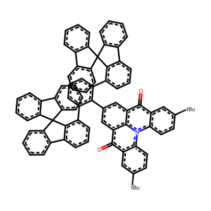 CC(C)(C)c1ccc2c(c1)c(=O)c1cc(-c3c(-c4cccc5c4C4(c6ccccc6-c6ccccc64)c4ccccc4-5)cccc3-c3cccc4c3C3(c5ccccc5-c5ccccc53)c3ccccc3-4)cc3c(=O)c4cc(C(C)(C)C)ccc4n2c13